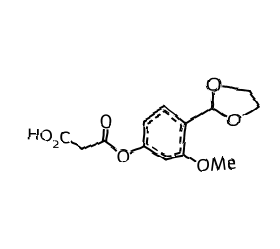 COc1cc(OC(=O)CC(=O)O)ccc1C1OCCO1